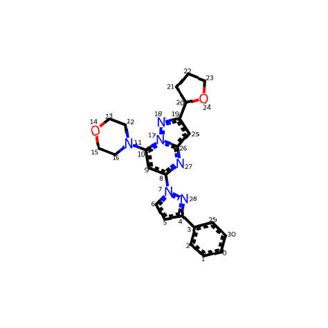 c1ccc(-c2ccn(-c3cc(N4CCOCC4)n4nc(C5CCCO5)cc4n3)n2)cc1